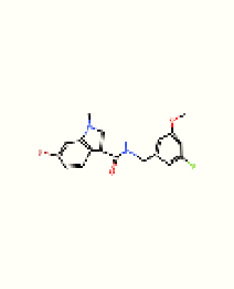 COc1cc(F)cc(CNC(=O)c2cn(C)c3cc(Br)ccc23)c1